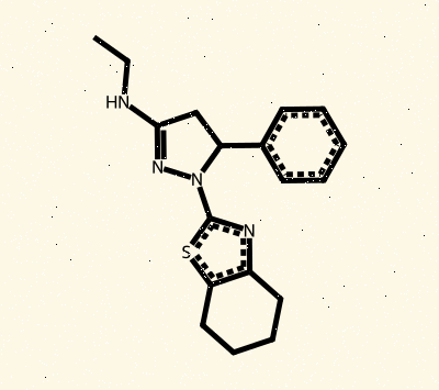 CCNC1=NN(c2nc3c(s2)CCCC3)C(c2ccccc2)C1